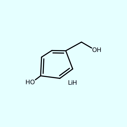 OCc1ccc(O)cc1.[LiH]